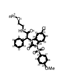 CCCOCCNC(=O)C(c1ccccc1)n1c(=O)n(S(=O)(=O)c2ccc(OC)cc2)c2ccc(Cl)cc21